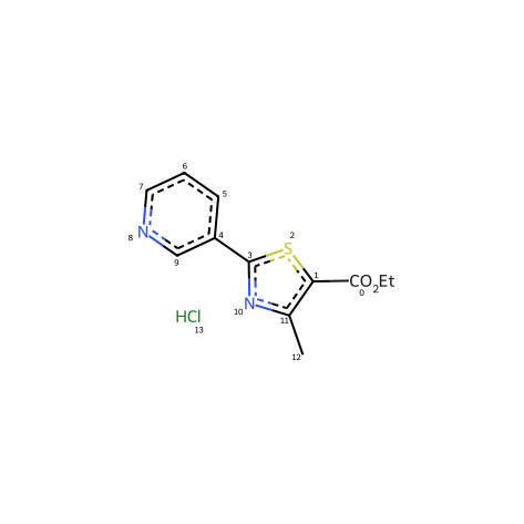 CCOC(=O)c1sc(-c2cccnc2)nc1C.Cl